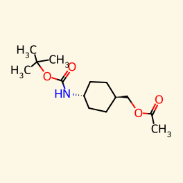 CC(=O)OC[C@H]1CC[C@H](NC(=O)OC(C)(C)C)CC1